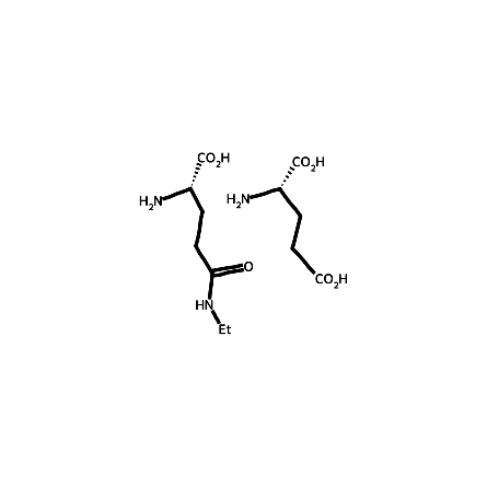 CCNC(=O)CC[C@H](N)C(=O)O.N[C@@H](CCC(=O)O)C(=O)O